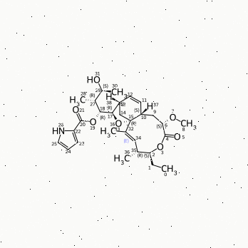 CC[C@@H]1OC(=O)[C@@H](OC)C[C@H]2C=C[C@@H]3C[C@]2(O[C@H]3[C@H](OC(=O)c2ccc[nH]2)[C@H](C)[C@H](C)O)/C(C)=C/[C@H]1C